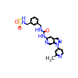 Cc1cc(-n2ncc3cc(NC(=O)NCc4cccc(CN[SH](=O)=O)c4)ncc32)ccn1